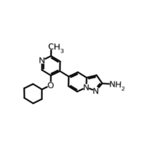 Cc1cc(-c2ccn3nc(N)cc3c2)c(OC2CCCCC2)cn1